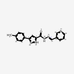 Cc1ccc(-c2cc(C(=O)N/N=C/c3cccnc3)[nH]n2)cc1